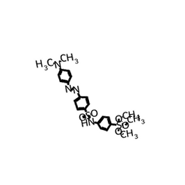 CO[Si](OC)(OC)c1ccc(NS(=O)(=O)c2ccc(/N=N/c3ccc(N(C)C)cc3)cc2)cc1